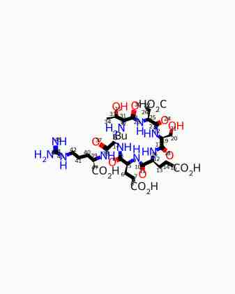 CC[C@H](C)[C@H](NC(=O)[C@H](CCC(=O)O)NC(=O)[C@H](CCC(=O)O)NC(=O)[C@H](CO)NC(=O)[C@H](CC(=O)O)NC(=O)[C@@H](N)[C@@H](C)O)C(=O)N[C@@H](CCCNC(=N)N)C(=O)O